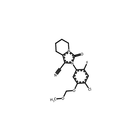 COCOc1cc(-n2c(C#N)c3n(c2=O)CCCC3)c(F)cc1Cl